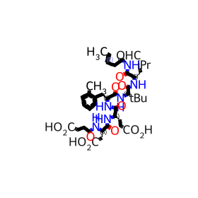 C/C=C/C[C@@H](C=O)NC(=O)[C@H](CC(C)C)NC(=O)[C@@H](NC(=O)[C@H](Cc1ccccc1C)NC(=O)[C@H](CCC(=O)O)NC(=O)[C@H](CC(=O)O)NC(=O)CCC(=O)O)C(C)(C)C